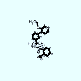 CCOc1cnccc1-c1cccc(C(C)(C)NS(=O)(=O)c2ccccc2C(F)(F)F)c1